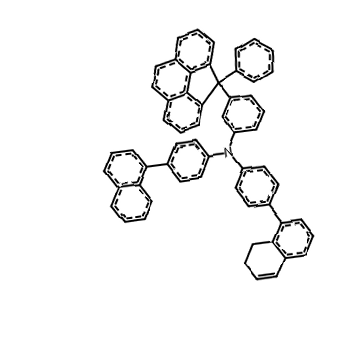 C1=Cc2cccc(-c3ccc(N(c4ccc(-c5cccc6ccccc56)cc4)c4cccc(C5(c6ccccc6)c6cccc7ccc8cccc5c8c67)c4)cc3)c2CC1